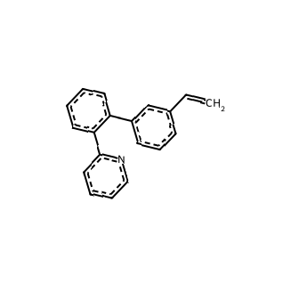 C=Cc1cccc(-c2ccccc2-c2ccccn2)c1